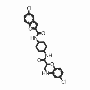 O=C(NC1CCC(NC(=O)C2CNc3cc(Cl)ccc3O2)CC1)c1cc2cc(Cl)ccc2o1